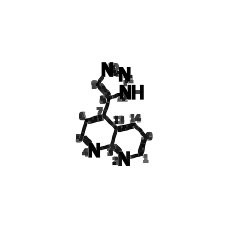 c1cnc2nccc(-c3cnn[nH]3)c2c1